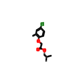 Cc1cc(Cl)ccc1OCC(=O)OCC(C)C